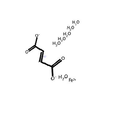 O.O.O.O.O.O.O=C([O-])/C=C/C(=O)[O-].[Fe+2]